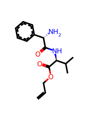 C=CCOC(=O)[C@@H](NC(=O)[C@@H](N)c1ccccc1)C(C)C